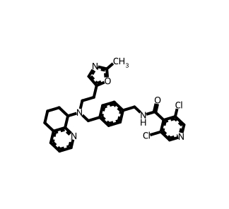 Cc1ncc(CCN(Cc2ccc(CNC(=O)c3c(Cl)cncc3Cl)cc2)C2CCCc3cccnc32)o1